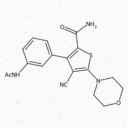 CC(=O)Nc1cccc(-c2c(C(N)=O)sc(N3CCOCC3)c2C#N)c1